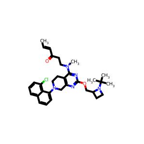 C/C=C/C(=O)CCN(C)c1nc(OCC2CCN2C(C)(C)C)nc2c1CCN(c1cccc3cccc(Cl)c13)C2